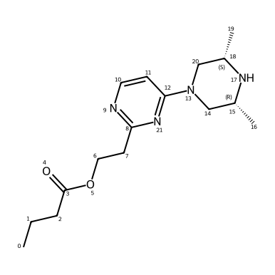 CCCC(=O)OCCc1nccc(N2C[C@@H](C)N[C@@H](C)C2)n1